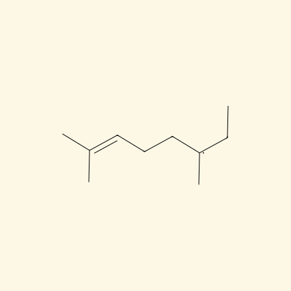 CC[C](C)CCC=C(C)C